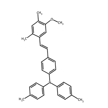 COc1cc(C=Cc2ccc(N(c3ccc(C)cc3)c3ccc(C)cc3)cc2)c(C)cc1C